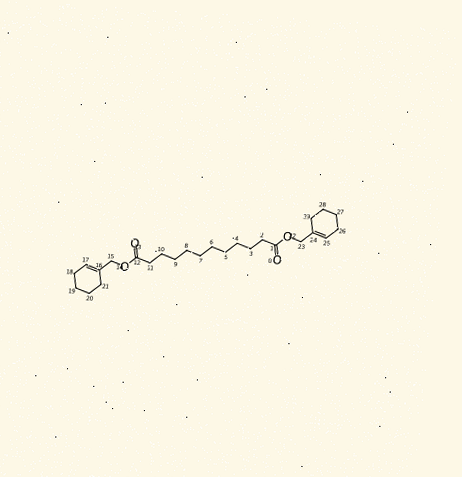 O=C(CCCCCCCCCCC(=O)OCC1=CCCCC1)OCC1=CCCCC1